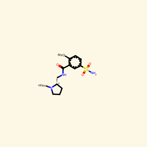 CCCCCCN1CCC[C@H]1CNC(=O)c1cc(S(N)(=O)=O)ccc1OC